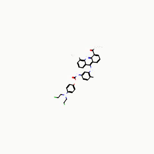 CNC(=O)c1cccc2c(Nc3cc(NC(=O)Oc4ccc(N(CCCl)CCCl)cc4)ccc3C)c3cccc(OC)c3nc12